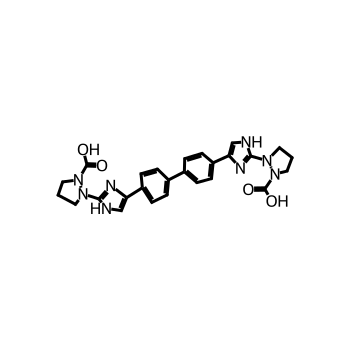 O=C(O)N1CCCN1c1nc(-c2ccc(-c3ccc(-c4c[nH]c(N5CCCN5C(=O)O)n4)cc3)cc2)c[nH]1